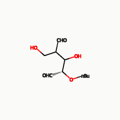 CCCCO[C@H](C=O)C(O)C(C=O)CO